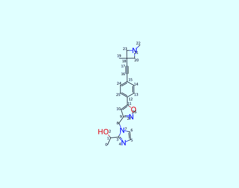 CC(O)c1nccn1Cc1cc(-c2ccc(C#CC3(C)CN(C)C3)cc2)on1